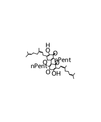 CCCCCC1=C(C2=C(CCCCC)C(=O)C(O)=C(CC=C(C)CCC=C(C)C)C2=O)C(=O)C(CC=C(C)CCC=C(C)C)=C(O)C1=O